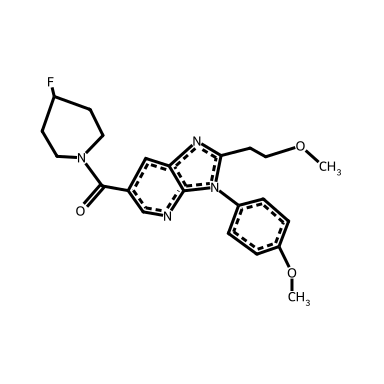 COCCc1nc2cc(C(=O)N3CCC(F)CC3)cnc2n1-c1ccc(OC)cc1